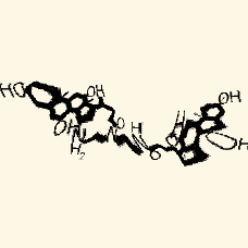 CC(CCC(=O)N(CCCN)CCCNC(=O)CCC1O[C@@H]2CC3C(C4CCC1[C@]42C)[C@@H](O)CC1C[C@@H](O)CC[C@@]13C)C1CCC2C3C(C[C@@H](O)[C@]12C)[C@@]1(C)CC[C@H](O)CC1C[C@@H]3O